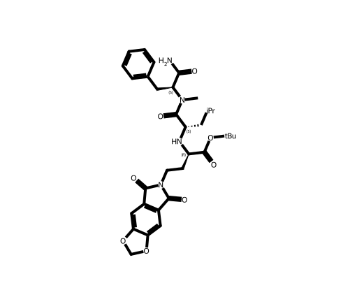 CC(C)C[C@H](N[C@H](CCN1C(=O)c2cc3c(cc2C1=O)OCO3)C(=O)OC(C)(C)C)C(=O)N(C)[C@@H](Cc1ccccc1)C(N)=O